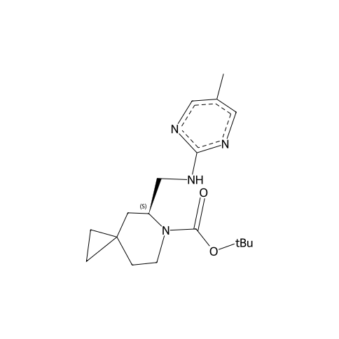 Cc1cnc(NC[C@@H]2CC3(CCN2C(=O)OC(C)(C)C)CC3)nc1